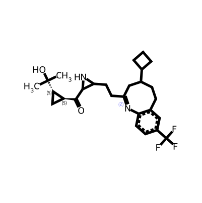 CC(C)(O)[C@H]1C[C@@H]1C(=O)C1NC1CC/C1=N/c2ccc(C(F)(F)F)cc2CCC(C2CCC2)C1